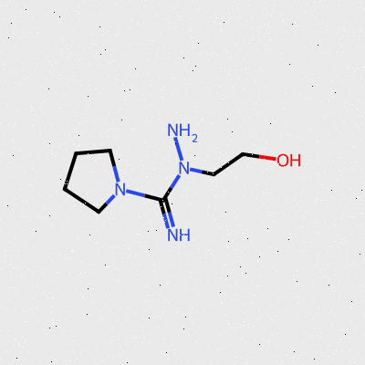 N=C(N(N)CCO)N1CCCC1